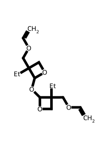 C=COCC1(CC)COC1OC1OCC1(CC)COC=C